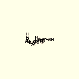 Cn1c(-c2cn(CC#CCO)nc2C(F)(F)F)cnc1C(=O)Nc1ccc(C(=O)N2CCN(C(=O)C3CCNCC3)CC2)c(Cl)c1